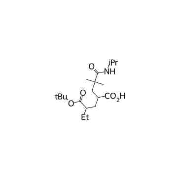 CCC(CC(CC(C)(C)C(=O)NC(C)C)C(=O)O)C(=O)OC(C)(C)C